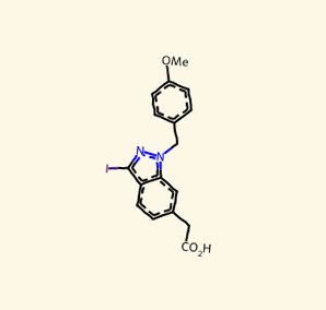 COc1ccc(Cn2nc(I)c3ccc(CC(=O)O)cc32)cc1